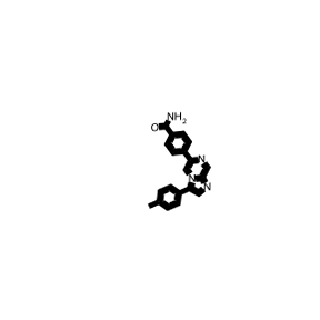 Cc1ccc(-c2cnc3cnc(-c4ccc(C(N)=O)cc4)cn23)cc1